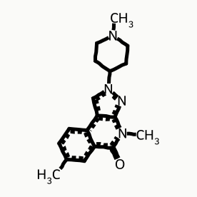 Cc1ccc2c(c1)c(=O)n(C)c1nn(C3CCN(C)CC3)cc21